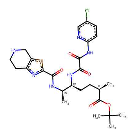 C[C@H](CC[C@H](NC(=O)C(=O)Nc1ccc(Cl)cn1)[C@@H](C)NC(=O)c1nc2c(s1)CNCC2)C(=O)OC(C)(C)C